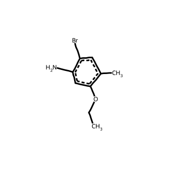 CCOc1cc(N)c(Br)cc1C